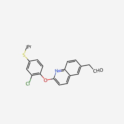 CC(C)Sc1ccc(Oc2ccc3cc(CC=O)ccc3n2)c(Cl)c1